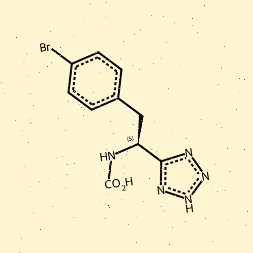 O=C(O)N[C@@H](Cc1ccc(Br)cc1)c1nn[nH]n1